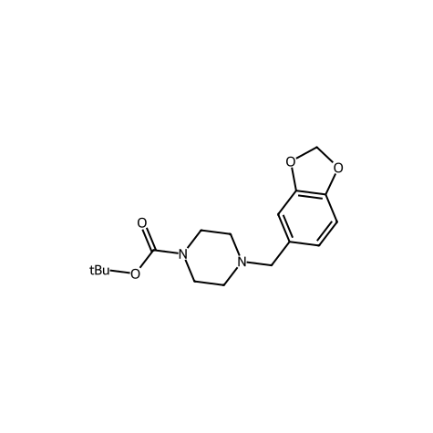 CC(C)(C)OC(=O)N1CCN(Cc2ccc3c(c2)OCO3)CC1